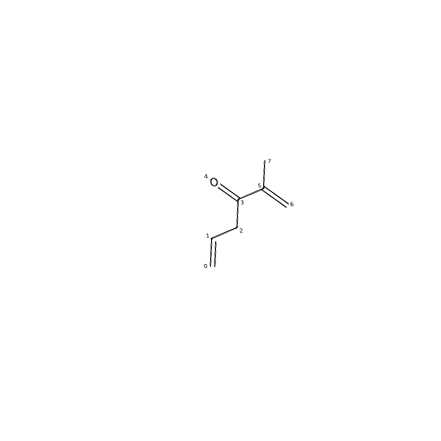 C=CCC(=O)C(=C)C